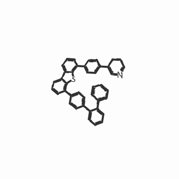 C1=NC=C(c2ccc(-c3cccc4c3sc3c(-c5ccc(-c6ccccc6-c6ccccc6)cc5)cccc34)cc2)CC1